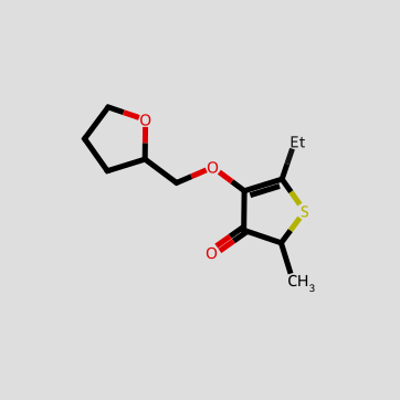 CCC1=C(OCC2CCCO2)C(=O)C(C)S1